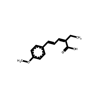 CCC(=CC=Cc1ccc(OC)cc1)C(=O)O